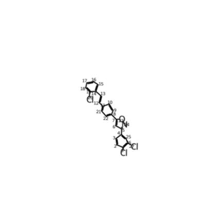 Clc1ccc(-c2cc(-c3ccc(C=Cc4ccccc4Cl)cc3)on2)cc1Cl